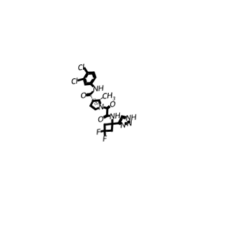 C[C@H]1[C@@H](C(=O)Nc2ccc(Cl)c(Cl)c2)CCN1C(=O)C(=O)NC1(c2c[nH]nn2)CC(F)(F)C1